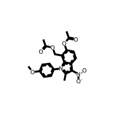 COc1ccc(-n2c(C)c([N+](=O)[O-])c3ccc(OC(C)=O)c(COC(C)=O)c32)cc1